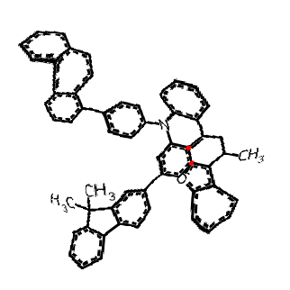 CC1CC(c2ccccc2N(c2ccc(-c3cccc4c3ccc3ccccc34)cc2)c2cccc(-c3ccc4c(c3)C(C)(C)c3ccccc3-4)c2)=Cc2oc3ccccc3c21